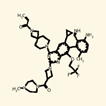 C=CC(=O)N1CC2(CCN(c3nc(N4CC(C(=O)N5CCN(C)CC5)C4)nc4c(OCC(F)(F)F)c(-c5c(C)ccc(N)c5C=N)c(C5CC5)cc34)CC2)C1